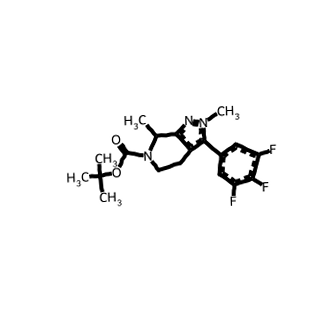 CC1c2nn(C)c(-c3cc(F)c(F)c(F)c3)c2CCN1C(=O)OC(C)(C)C